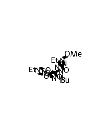 CCc1c2nc(-c3cc(S(=O)(=O)N4CCN(CC)CC4)cnc3O[C@@H](C)CC)[nH]c(=O)c2nn1CCOC